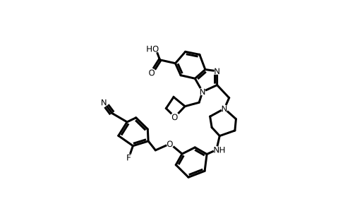 N#Cc1ccc(COc2cccc(NC3CCN(Cc4nc5ccc(C(=O)O)cc5n4CC4CCO4)CC3)c2)c(F)c1